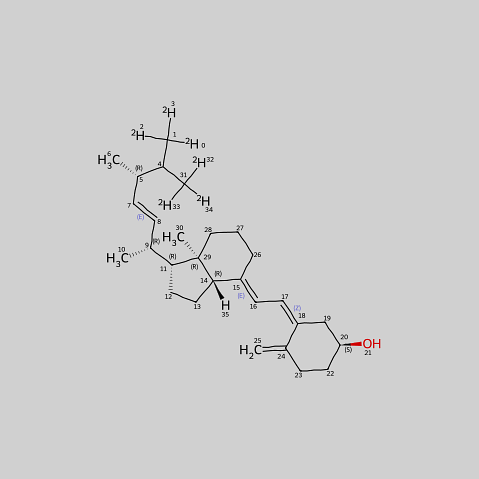 [2H]C([2H])([2H])C([C@@H](C)/C=C/[C@@H](C)[C@H]1CC[C@H]2/C(=C/C=C3/C[C@@H](O)CCC3=C)CCC[C@]12C)C([2H])([2H])[2H]